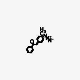 CC1(N=[N+]=[N-])C=CC(=CC(=O)c2ccccc2)C=C1